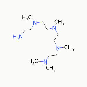 CN(C)CCN(C)CCN(C)CCN(C)CCN